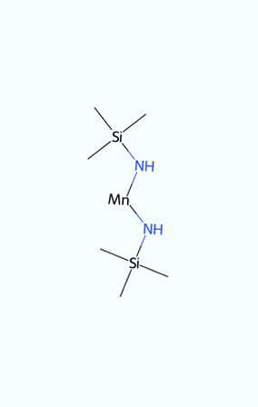 C[Si](C)(C)[NH][Mn][NH][Si](C)(C)C